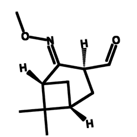 CO/N=C1/[C@@H](C=O)C[C@H]2C[C@@H]1C2(C)C